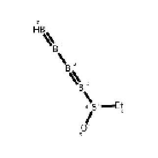 B=BB=B[S+]([O-])CC